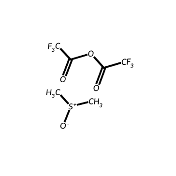 C[S+](C)[O-].O=C(OC(=O)C(F)(F)F)C(F)(F)F